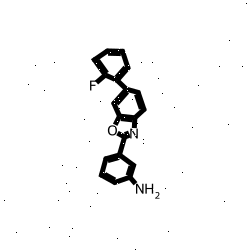 Nc1cccc(-c2nc3ccc(-c4ccccc4F)cc3o2)c1